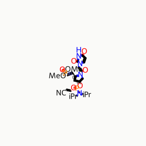 COP(=O)(/C=C/[C@@H]1C[C@@H](OP(OCCC#N)N(C(C)C)C(C)C)CN1C(=O)Cn1ccc(=O)[nH]c1=O)OC